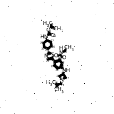 CCNS(=O)(=O)c1cc(NC2CN(CC(C)C)C2)ccc1-c1cnc([C@H]2CC[C@H](NC(=O)OC(C)C)CC2)s1